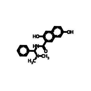 CN(C)C(NC(=O)c1cc2cc(O)ccc2cc1O)c1ccccc1